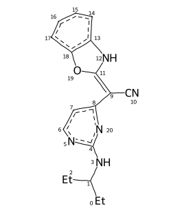 CCC(CC)Nc1nccc(/C(C#N)=C2/Nc3ccccc3O2)n1